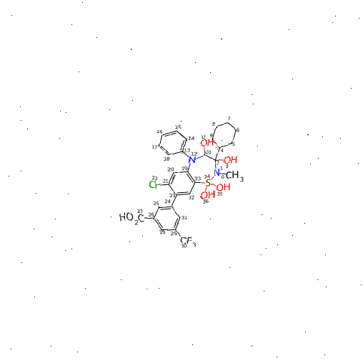 CN1C(O)(C2CCCCC2)C(O)N(c2ccccc2)c2cc(Cl)c(-c3cc(C(=O)O)cc(C(F)(F)F)c3)cc2S1(O)O